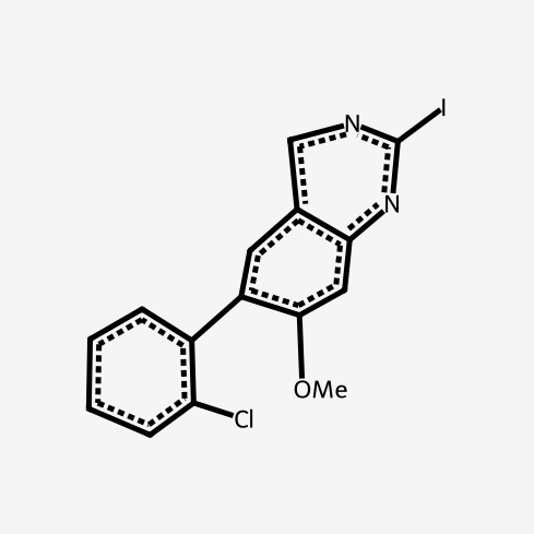 COc1cc2nc(I)ncc2cc1-c1ccccc1Cl